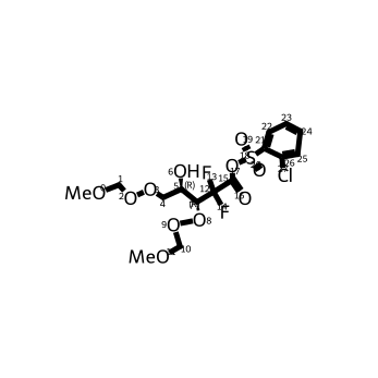 COCOOC[C@@H](O)[C@@H](OOCOC)C(F)(F)C(=O)OS(=O)(=O)c1ccccc1Cl